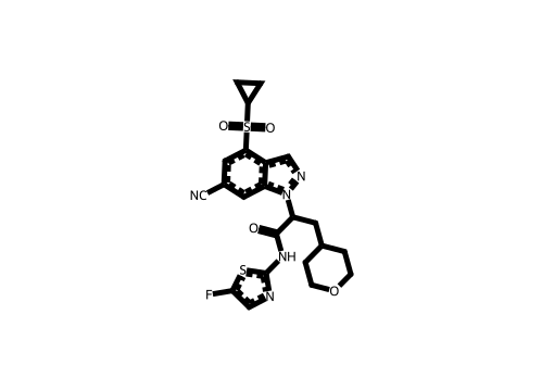 N#Cc1cc(S(=O)(=O)C2CC2)c2cnn(C(CC3CCOCC3)C(=O)Nc3ncc(F)s3)c2c1